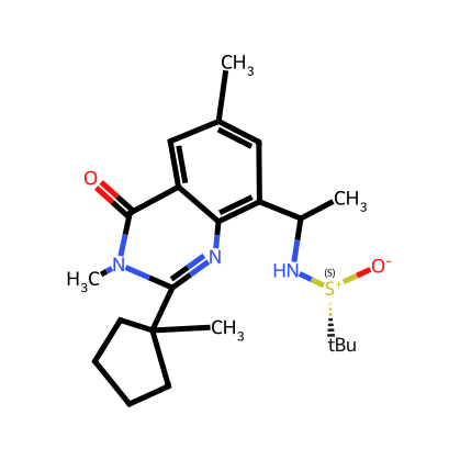 Cc1cc(C(C)N[S@+]([O-])C(C)(C)C)c2nc(C3(C)CCCC3)n(C)c(=O)c2c1